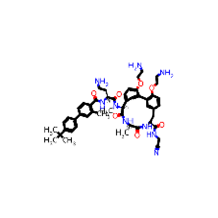 Cc1cc(-c2ccc(C(C)(C)C)cc2)ccc1C(=O)N[C@@H](CCN)C(=O)N(C)[C@@H]1C(=O)N[C@@H](C)C(=O)N[C@H](C(=O)NCC#N)Cc2ccc(OCCN)c(c2)-c2cc1ccc2OCCN